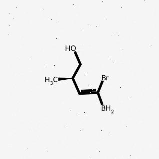 B/C(Br)=C/[C@@H](C)CO